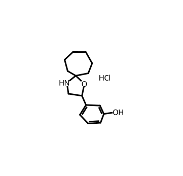 Cl.Oc1cccc(C2CNC3(CCCCCC3)O2)c1